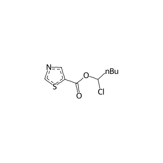 CCCCC(Cl)OC(=O)c1cncs1